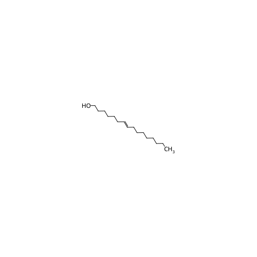 CCCCCCCC/C=C/CCCCCCO